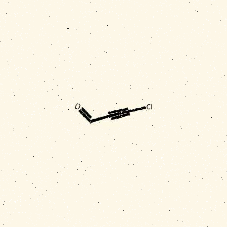 O=[C]C#CCl